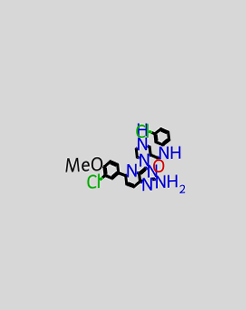 COc1ccc(-c2ccc3nc(N)nc(N4CCNCC4C(=O)Nc4cccc(Cl)c4)c3n2)cc1Cl